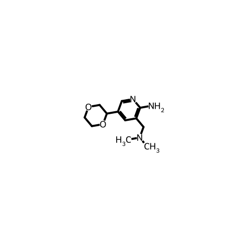 CN(C)Cc1cc(C2COCCO2)cnc1N